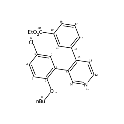 CCCCOc1ccc(Cl)cc1-c1cnccc1-c1cccc(C(=O)OCC)c1